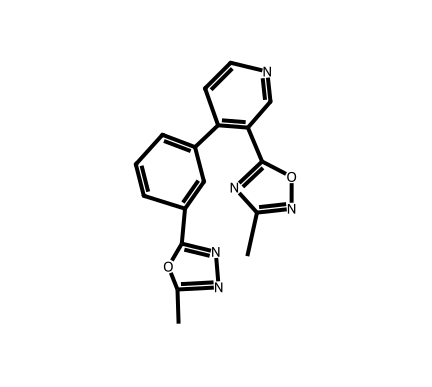 Cc1noc(-c2cnccc2-c2cccc(-c3nnc(C)o3)c2)n1